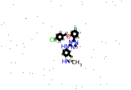 CS(=N)Cc1cccc(Nc2ncnc(-c3ccc(F)cc3OCc3ccc(Cl)cc3)n2)c1